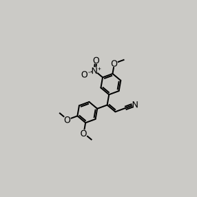 COc1ccc(C(=CC#N)c2ccc(OC)c([N+](=O)[O-])c2)cc1OC